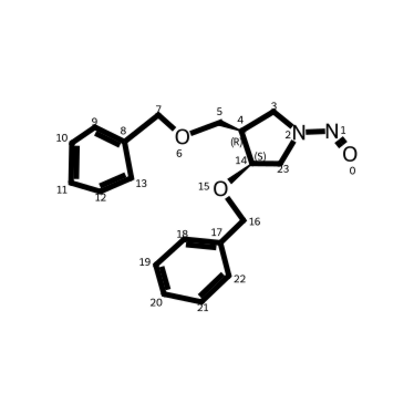 O=NN1C[C@H](COCc2ccccc2)[C@H](OCc2ccccc2)C1